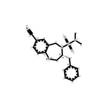 CN(C)S(=O)(=O)N1Cc2cc(C#N)ccc2NC[C@H]1Cc1ccccc1